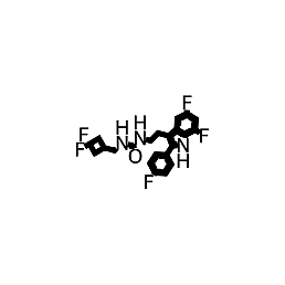 O=C(NCCc1c(-c2ccc(F)cc2)[nH]c2c(F)cc(F)cc12)NCC1CC(F)(F)C1